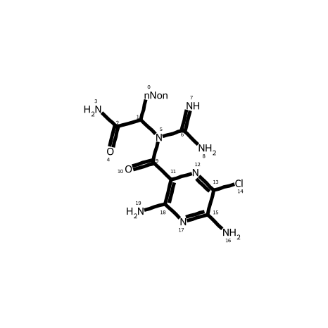 CCCCCCCCCC(C(N)=O)N(C(=N)N)C(=O)c1nc(Cl)c(N)nc1N